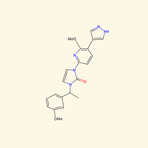 COc1cccc(C(C)n2ccn(-c3ccc(-c4cn[nH]c4)c(OC)n3)c2=O)c1